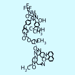 C=CC(=O)N1CCN(c2nc(OC[C@@H]3C[C@@H](OCC(=O)N4CCC(Cc5ccc(-n6c(C(=O)NCC(F)(F)F)nnc6-c6cc(C(C)C)c(O)cc6O)cc5)CC4)CN3C)nc3c2CCN(c2cccc4cccc(Cl)c24)C3)CC1CC#N